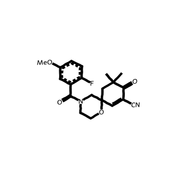 COc1ccc(F)c(C(=O)N2CCOC3(C=C(C#N)C(=O)C(C)(C)C3)C2)c1